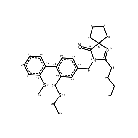 CCCCC1=NC2(CCCC2)C(=O)N1Cc1ccc(-c2ccccc2SC)c(CSCC)c1